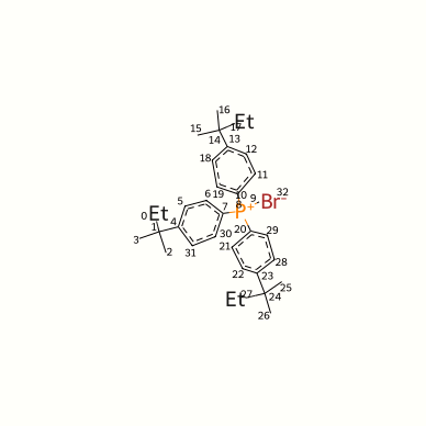 CCC(C)(C)c1ccc([P+](C)(c2ccc(C(C)(C)CC)cc2)c2ccc(C(C)(C)CC)cc2)cc1.[Br-]